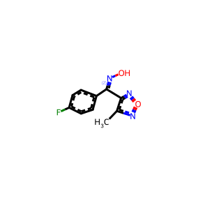 Cc1nonc1/C(=N\O)c1ccc(F)cc1